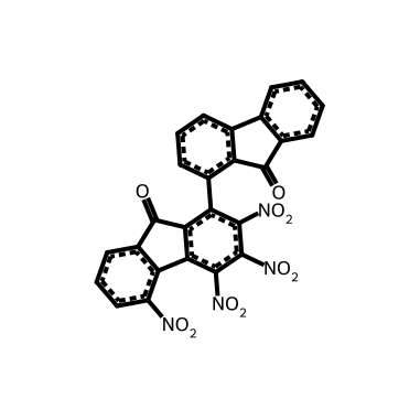 O=C1c2ccccc2-c2cccc(-c3c4c(c([N+](=O)[O-])c([N+](=O)[O-])c3[N+](=O)[O-])-c3c(cccc3[N+](=O)[O-])C4=O)c21